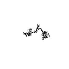 Cc1cc(=O)cc(NC(=O)NCCC[N+](C)(C)CCN(CCN(C)C)CCN(C)CCCNC(=O)Nc2nc(=O)cc(C)[nH]2)[nH]1